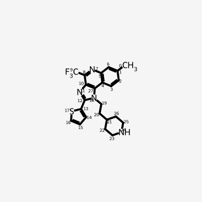 Cc1ccc2c(c1)nc(C(F)(F)F)c1nc(-c3cccs3)n(CCC3CCNCC3)c12